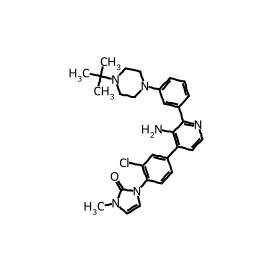 Cn1ccn(-c2ccc(-c3ccnc(-c4cccc(N5CCN(C(C)(C)C)CC5)c4)c3N)cc2Cl)c1=O